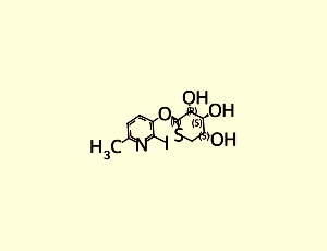 Cc1ccc(O[C@@H]2SC[C@@H](O)[C@H](O)[C@H]2O)c(I)n1